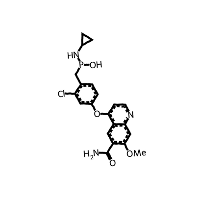 COc1cc2nccc(Oc3ccc(CP(O)NC4CC4)c(Cl)c3)c2cc1C(N)=O